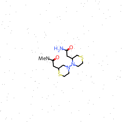 CNC(=O)CC1CN(N2CCSCC2CC(N)=O)CCS1